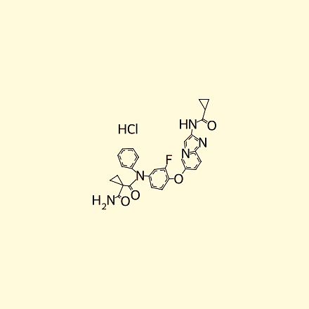 Cl.NC(=O)C1(C(=O)N(c2ccccc2)c2ccc(Oc3ccc4nc(NC(=O)C5CC5)cn4c3)c(F)c2)CC1